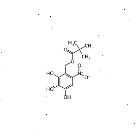 CC(C)(C)C(=O)OCc1c([N+](=O)[O-])cc(O)c(O)c1O